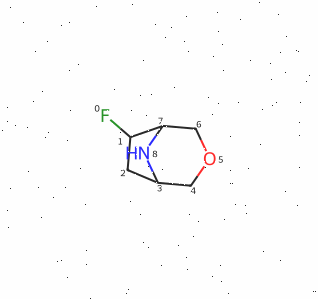 FC1CC2COCC1N2